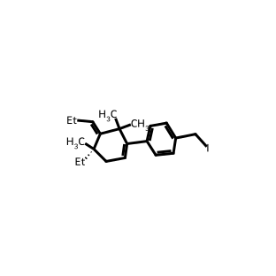 CC/C=C1/C(C)(C)C(c2ccc(CI)cc2)=CC[C@]1(C)CC